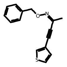 CC(C#Cc1ccsc1)=NOCc1ccccc1